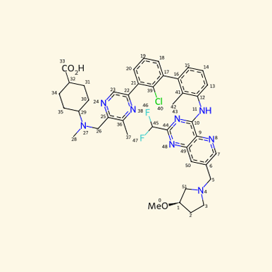 CO[C@@H]1CCN(Cc2cnc3c(Nc4cccc(-c5cccc(-c6cnc(CN(C)C7CCC(C(=O)O)CC7)c(C)n6)c5Cl)c4C)nc(C(F)F)nc3c2)C1